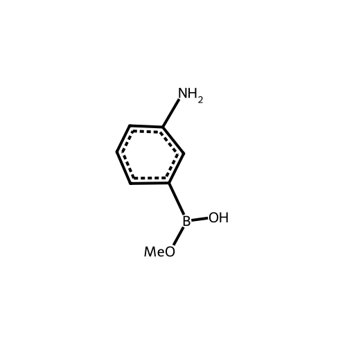 COB(O)c1cccc(N)c1